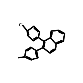 Cc1ccc(-c2ccc3ccccc3c2-c2ccc(Cl)cc2)cc1